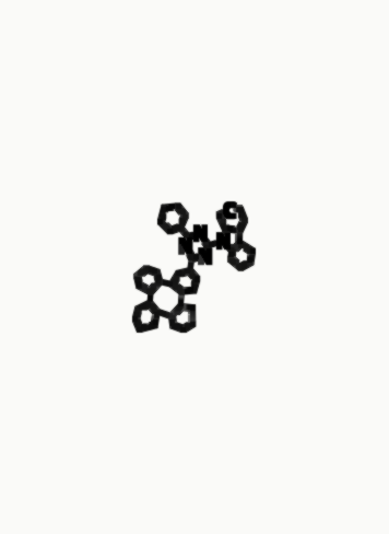 c1ccc(-c2nc(-c3ccc4c(c3)-c3ccccc3-c3ccccc3-c3ccccc3-4)nc(-n3c4ccccc4c4ccccc43)n2)cc1